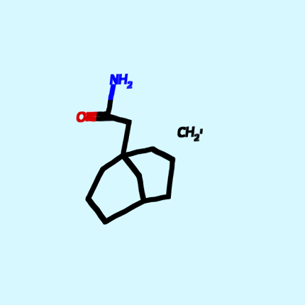 NC(=O)CC12CCCC(CCC1)C2.[CH2]